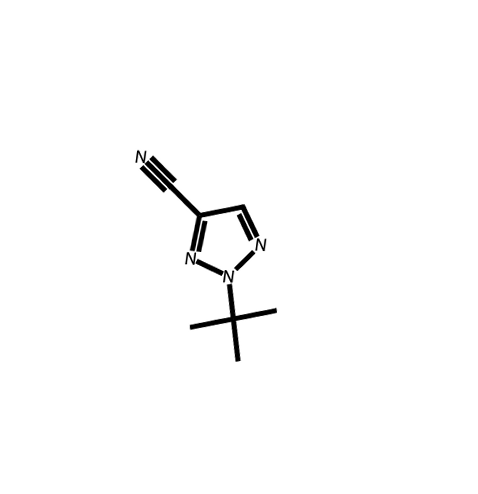 CC(C)(C)n1ncc(C#N)n1